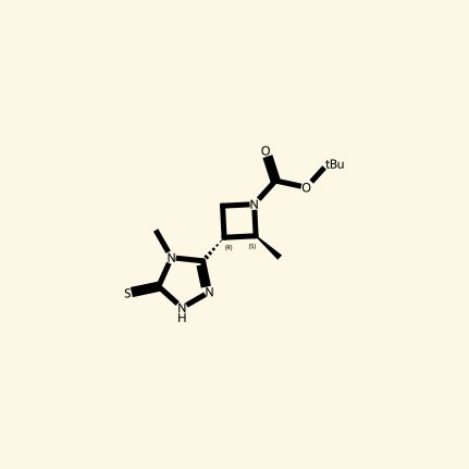 C[C@H]1[C@H](c2n[nH]c(=S)n2C)CN1C(=O)OC(C)(C)C